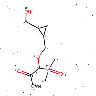 COC(=O)C(OCC1CC1CO)P(C)(C)=O